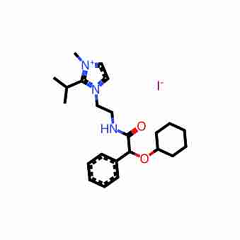 CC(C)c1n(CCNC(=O)C(OC2CCCCC2)c2ccccc2)cc[n+]1C.[I-]